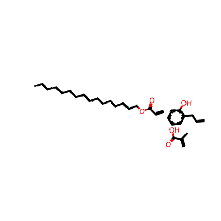 C=C(C)C(=O)O.C=CC(=O)OCCCCCCCCCCCCCCCC.C=CCc1ccccc1O